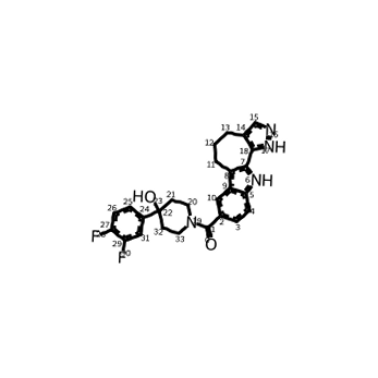 O=C(c1ccc2[nH]c3c(c2c1)CCCc1cn[nH]c1-3)N1CCC(O)(c2ccc(F)c(F)c2)CC1